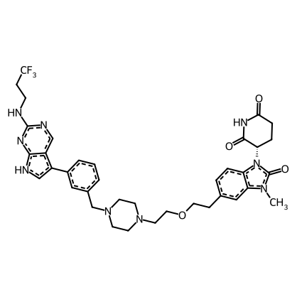 Cn1c(=O)n([C@H]2CCC(=O)NC2=O)c2ccc(CCOCCN3CCN(Cc4cccc(-c5c[nH]c6nc(NCCC(F)(F)F)ncc56)c4)CC3)cc21